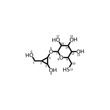 OCC1C(O)C1OC1OC(CS)C(O)C(O)C1O